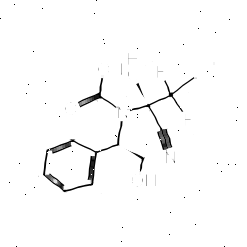 C[C@@](C#N)(N(C(=O)O)[C@@H](CO)c1ccccc1)C(F)(F)F